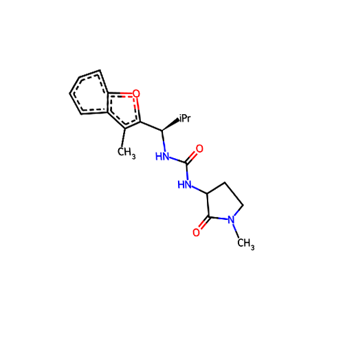 Cc1c([C@H](NC(=O)NC2CCN(C)C2=O)C(C)C)oc2ccccc12